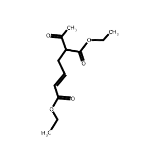 CCOC(=O)/C=C/CC(C(C)=O)C(=O)OCC